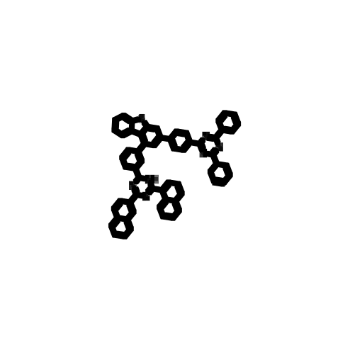 C1#CCC(c2nc(-c3ccccc3)nc(-c3ccc(-c4cc(-c5cccc(C6N=C(c7ccc8ccccc8c7)N=C(c7cccc8ccccc78)N6)c5)c5c(c4)sc4ccccc45)cc3)n2)C=C1